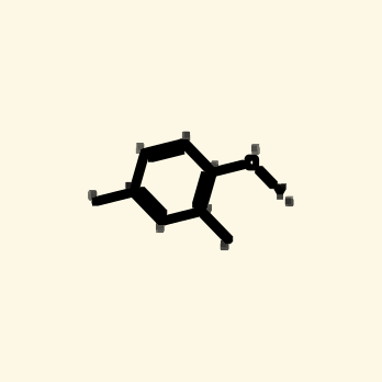 Cc1ccc([O][Y])c(C)c1